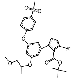 COCC(C)Oc1cc(Oc2ccc(S(C)(=O)=O)cc2)cc(-c2ccc(Br)n2C(=O)OC(C)(C)C)c1